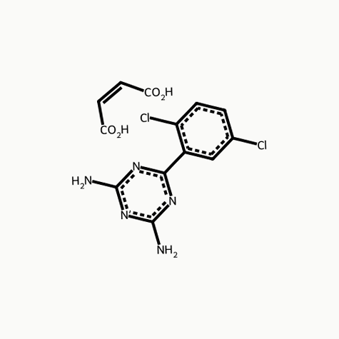 Nc1nc(N)nc(-c2cc(Cl)ccc2Cl)n1.O=C(O)/C=C\C(=O)O